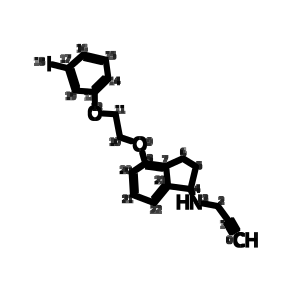 C#CCNC1CCc2c(OCCOc3cccc(I)c3)cccc21